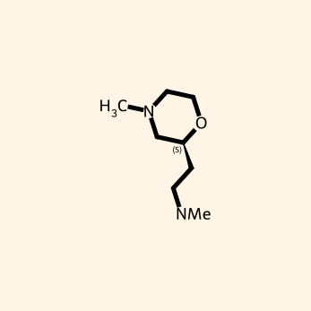 CNCC[C@H]1CN(C)CCO1